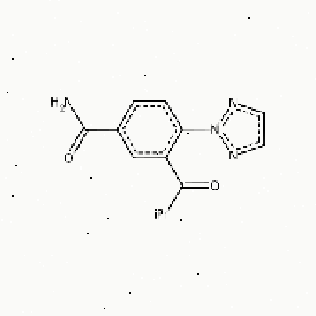 CC(C)C(=O)c1cc(C(N)=O)ccc1-n1nccn1